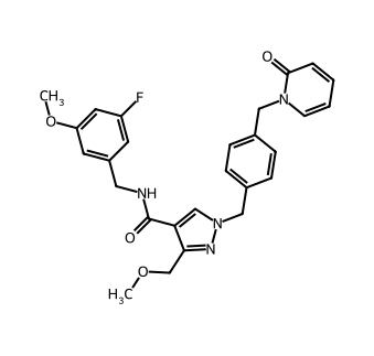 COCc1nn(Cc2ccc(Cn3ccccc3=O)cc2)cc1C(=O)NCc1cc(F)cc(OC)c1